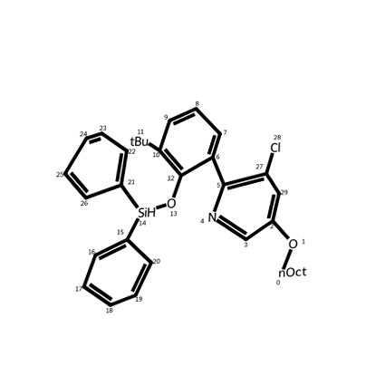 CCCCCCCCOc1cnc(-c2cccc(C(C)(C)C)c2O[SiH](c2ccccc2)c2ccccc2)c(Cl)c1